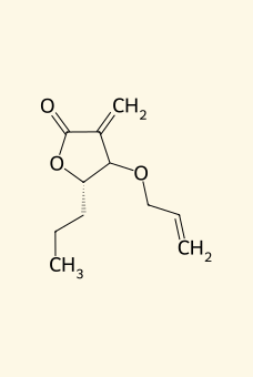 C=CCOC1C(=C)C(=O)O[C@H]1CCC